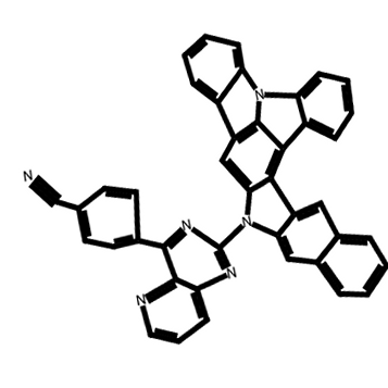 N#Cc1ccc(-c2nc(-n3c4cc5ccccc5cc4c4c5c6ccccc6n6c7ccccc7c(cc43)c56)nc3cccnc23)cc1